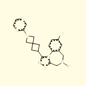 CC(C)N1Cc2cc(Cl)ccc2-n2c(nnc2C2CC3(C2)CN(c2cnccn2)C3)C1